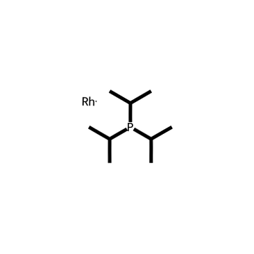 CC(C)P(C(C)C)C(C)C.[Rh]